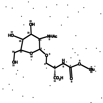 CC(=O)NC1C(OC[C@H](NC(=O)OC(C)(C)C)C(=O)O)OC(CO)C(O)C1O